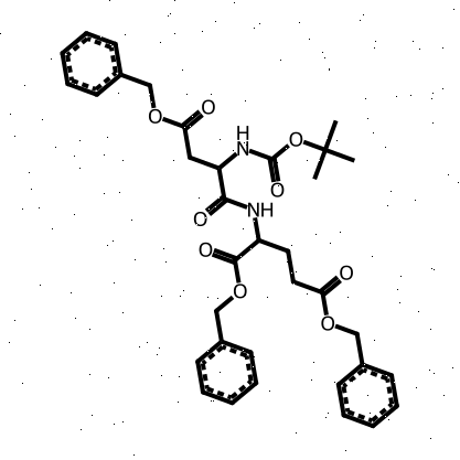 CC(C)(C)OC(=O)NC(CC(=O)OCc1ccccc1)C(=O)NC(CCC(=O)OCc1ccccc1)C(=O)OCc1ccccc1